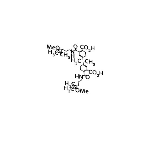 CO[Si](C)(C)CCCNC(=O)c1ccc(C(C)(C)c2ccc(C(=O)O)c(C(=O)NCCC[Si](C)(C)OC)c2)cc1C(=O)O